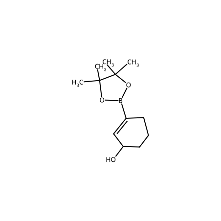 CC1(C)OB(C2=CC(O)CCC2)OC1(C)C